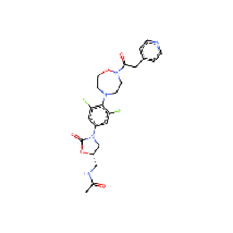 CC(=O)NC[C@H]1CN(c2cc(F)c(N3CCON(C(=O)Cc4ccncc4)CC3)c(F)c2)C(=O)O1